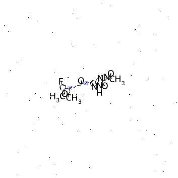 CCC/C(=C\CCCC(=O)/C=C/c1cnc2c(c1)CN1CCN(C(C)=O)CC1C(=O)N2)c1cc(F)ccc1OC